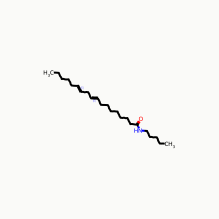 CCCCC/C=C/C/C=C/CCCCCCCC(=O)NCCCCC